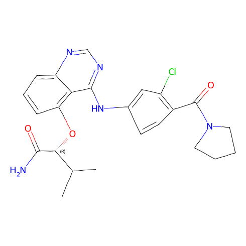 CC(C)[C@@H](Oc1cccc2ncnc(Nc3ccc(C(=O)N4CCCC4)c(Cl)c3)c12)C(N)=O